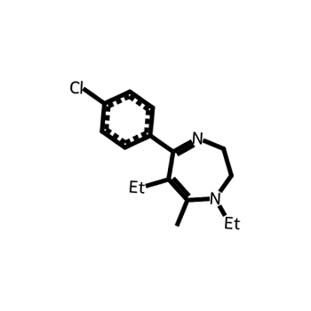 CCC1=C(C)N(CC)CCN=C1c1ccc(Cl)cc1